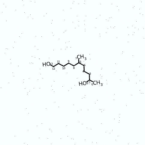 CC(O)CCCC(C)CCCCCO